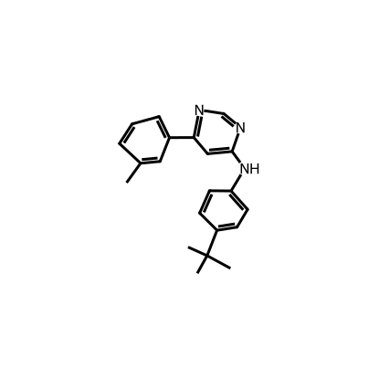 Cc1cccc(-c2cc(Nc3ccc(C(C)(C)C)cc3)ncn2)c1